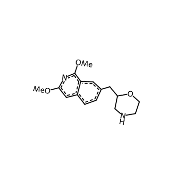 COc1cc2ccc(CC3CNCCO3)cc2c(OC)n1